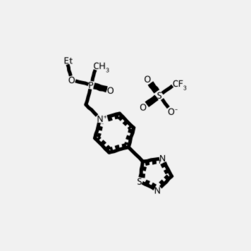 CCOP(C)(=O)C[n+]1ccc(-c2ncns2)cc1.O=S(=O)([O-])C(F)(F)F